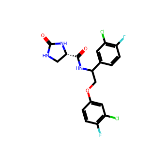 O=C1NC[C@@H](C(=O)NC(COc2ccc(F)c(Cl)c2)c2ccc(F)c(Cl)c2)N1